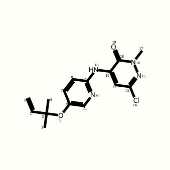 C=CC(C)(C)Oc1ccc(Nc2cc(Cl)nn(C)c2=O)nc1